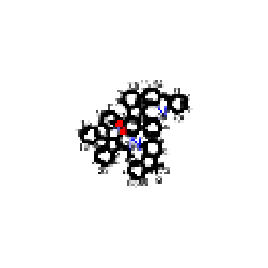 C=C(C1=C(/C=C\C)C(c2ccccc2)(c2ccccc2)c2ccccc21)N(c1ccc2c(c1)C1(c3ccccc3-2)c2ccccc2-n2c3ccccc3c3cccc1c32)c1cccc2c1-c1ccccc1C2(C)C